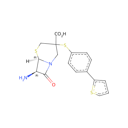 N[C@@H]1C(=O)N2CC(Sc3ccc(-c4cccs4)cc3)(C(=O)O)CS[C@H]12